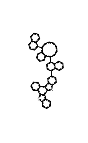 c1cccc(-c2ccc(-c3ccc4sc5c(c4c3)c3ccccc3c3sc4ccccc4c35)c3ccccc23)c2ccccc2c(-c2cccc3ccccc23)cc1